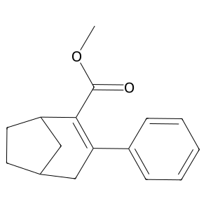 COC(=O)C1=C(c2ccccc2)CC2CCC1C2